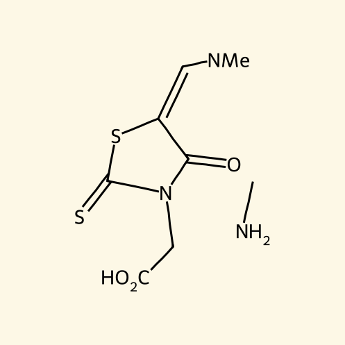 CN.CN/C=C1/SC(=S)N(CC(=O)O)C1=O